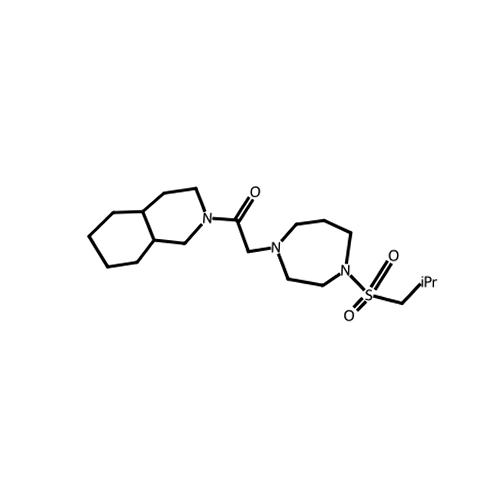 CC(C)CS(=O)(=O)N1CCCN(CC(=O)N2CCC3CCCCC3C2)CC1